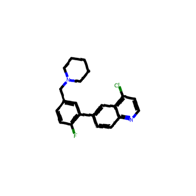 Fc1ccc(CN2CCCCC2)cc1-c1ccc2nccc(Cl)c2c1